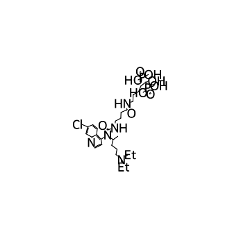 CCN(CC)CCCC(C)N(C(=O)NCCCC(=O)NCCCCC(O)(P(=O)(O)O)P(=O)(O)O)c1ccnc2cc(Cl)ccc12